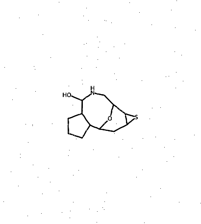 OC1NCC2OC(CC3SC23)C2CCCC12